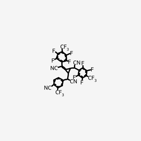 N#C/C(=C1\C(C(C#N)c2ccc(C#N)c(C(F)(F)F)c2)C1C(C#N)c1c(F)c(F)c(C(F)(F)F)c(F)c1F)c1c(F)c(F)c(C(F)(F)F)c(F)c1F